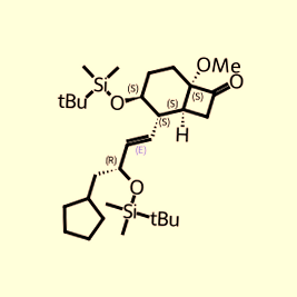 CO[C@@]12CC[C@H](O[Si](C)(C)C(C)(C)C)[C@@H](/C=C/[C@@H](CC3CCCC3)O[Si](C)(C)C(C)(C)C)[C@@H]1CC2=O